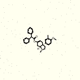 COc1ccc([C@@]23CC=C(OC(=O)C(c4ccccc4)c4ccccc4)C[C@@H]2N(C)CC3)cc1C